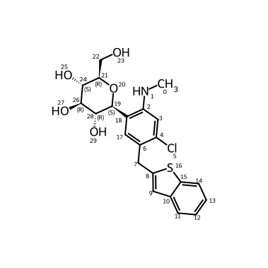 CNc1cc(Cl)c(Cc2cc3ccccc3s2)cc1[C@@H]1O[C@H](CO)[C@@H](O)[C@H](O)[C@H]1O